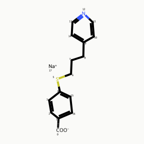 O=C([O-])c1ccc(SCCCc2ccncc2)cc1.[Na+]